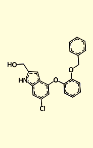 OCc1cc2c(Oc3ccccc3OCc3ccccc3)cc(Cl)cc2[nH]1